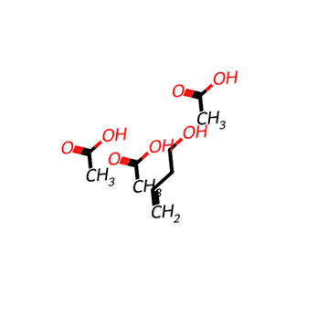 C=CCCO.CC(=O)O.CC(=O)O.CC(=O)O